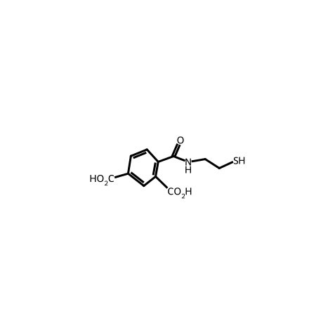 O=C(O)c1ccc(C(=O)NCCS)c(C(=O)O)c1